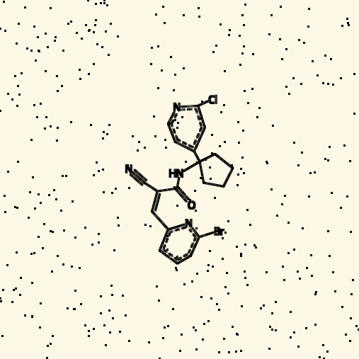 N#CC(=Cc1cccc(Br)n1)C(=O)NC1(c2ccnc(Cl)c2)CCCC1